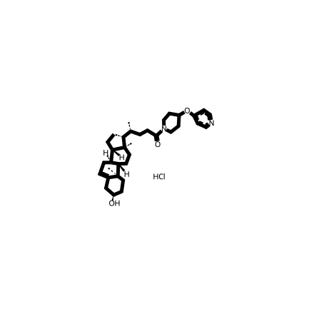 C[C@H](CCC(=O)N1CCC(Oc2ccncc2)CC1)[C@H]1CC[C@H]2[C@@H]3CC=C4C[C@@H](O)CC[C@]4(C)[C@H]3CC[C@]12C.Cl